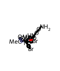 C=C(/C=C(OC)\C(OC)=C(/C)OC)c1nc(-c2ccc(Br)cc2)c(-c2ccc(Br)cc2)n1Cc1ccc(C(=O)NCCOCCOCCN)cc1